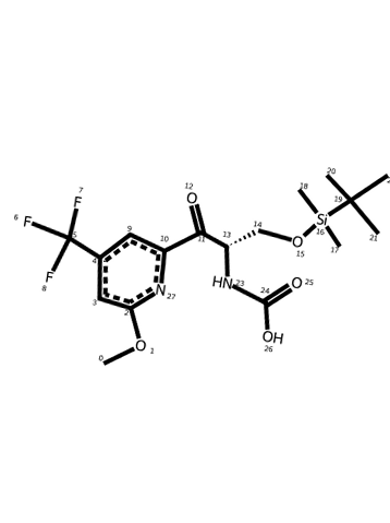 COc1cc(C(F)(F)F)cc(C(=O)[C@H](CO[Si](C)(C)C(C)(C)C)NC(=O)O)n1